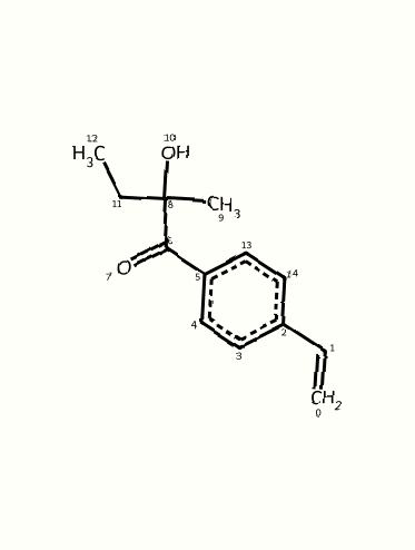 C=Cc1ccc(C(=O)C(C)(O)CC)cc1